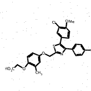 COc1ccc(-c2nc(COc3ccc(OCC(=O)O)c(C)c3)sc2-c2ccc(OC)c(Cl)c2)cc1